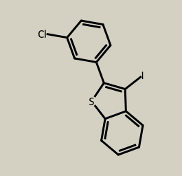 Clc1cccc(-c2sc3ccccc3c2I)c1